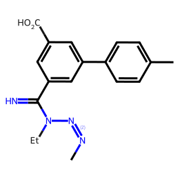 CCN(/N=N\C)C(=N)c1cc(C(=O)O)cc(-c2ccc(C)cc2)c1